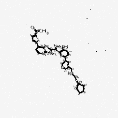 CC(=O)c1ccc(-c2ccnc3[nH]c(-c4n[nH]c5ccc(-c6cncc(CNCC7CCCC7)c6)nc45)nc23)s1